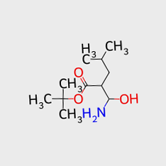 CC(C)CC(C(=O)OC(C)(C)C)C(N)O